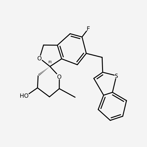 CC1CC(O)C[C@@]2(OCc3cc(F)c(Cc4cc5ccccc5s4)cc32)O1